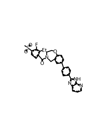 CCc1c(C(=O)N2CCOc3ccc(-c4ccc(-c5nc6cccnc6[nH]5)cc4)cc3C2)ccc(S(C)(=O)=O)c1F